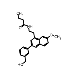 CCCC(=O)NCCc1cc(-c2cccc(CO)c2)cc2ccc(OC)cc12